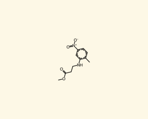 COC(=O)CCNc1cc([N+](=O)[O-])ccc1C